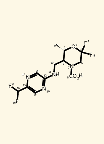 C[C@@H]1OC(F)(F)CN(C(=O)O)C1CNc1cnc(C(F)F)cn1